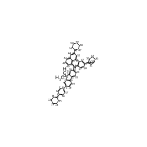 CC1(C)c2cc(-c3ccc(C4CCCCC4)cc3)ccc2-c2ccc(N(c3ccc(C4CC5CCC4C5)cc3)c3cccc4cc(C5CCCCC5)ccc34)cc21